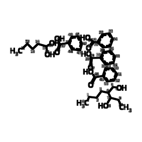 CCCCC(CO)C(O)CC.CCCCC(O)O.O=C(O)c1ccccc1.O=C(O)c1ccccc1.O=C(O)c1ccccc1.O=C(O)c1ccccc1